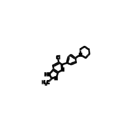 Cc1nc2nc(-c3ccc(N4CCCCC4)cc3)c(Cl)cc2[nH]1